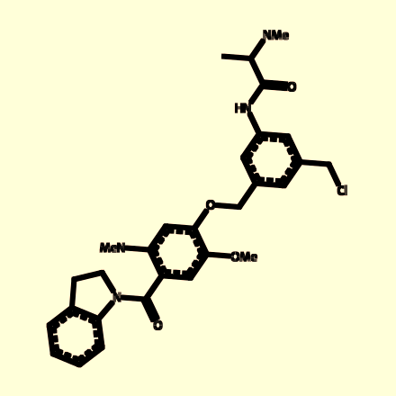 CNc1cc(OCc2cc(CCl)cc(NC(=O)C(C)NC)c2)c(OC)cc1C(=O)N1CCc2ccccc21